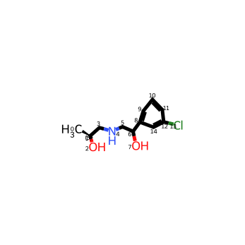 C[C@H](O)CNCC(O)c1cccc(Cl)c1